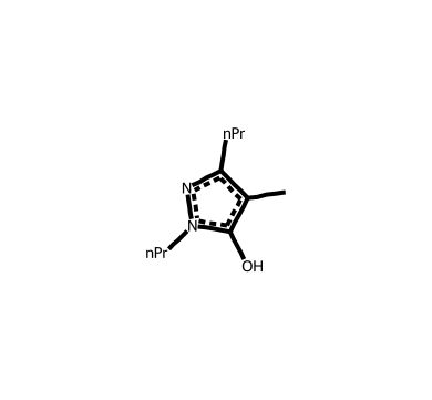 CCCc1nn(CCC)c(O)c1C